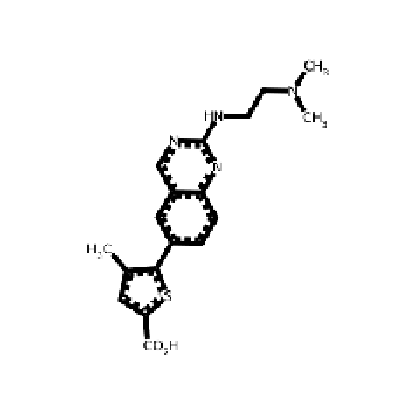 Cc1cc(C(=O)O)sc1-c1ccc2nc(NCCN(C)C)ncc2c1